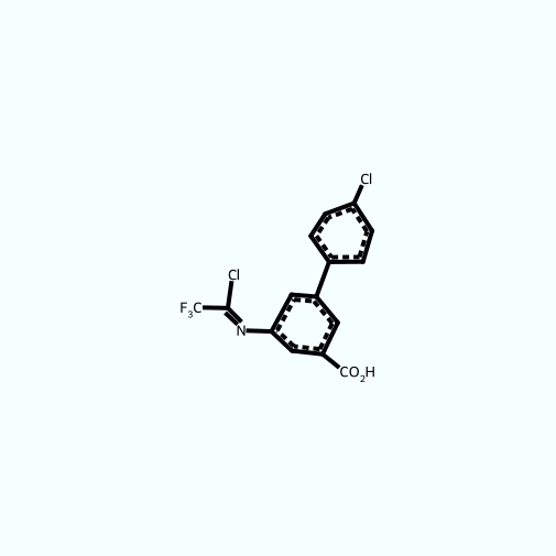 O=C(O)c1cc(N=C(Cl)C(F)(F)F)cc(-c2ccc(Cl)cc2)c1